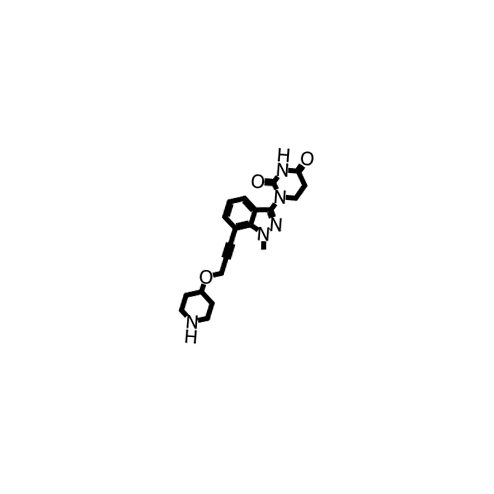 Cn1nc(N2CCC(=O)NC2=O)c2cccc(C#CCOC3CCNCC3)c21